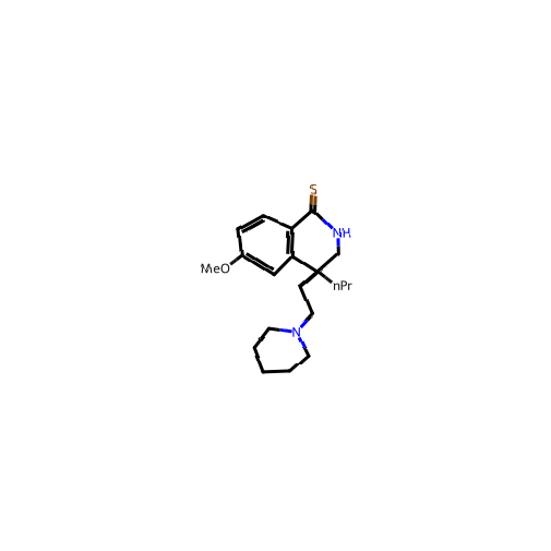 CCCC1(CCN2CCCCC2)CNC(=S)c2ccc(OC)cc21